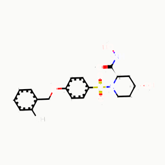 Cc1ccccc1COc1ccc(S(=O)(=O)N2CC[C@@H](O)C[C@@H]2C(=O)NO)cc1